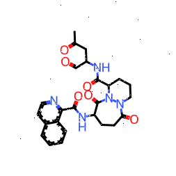 CC(=O)CC(C=O)NC(=O)C1CCCN2C(=O)CCC(NC(=O)c3nccc4ccccc34)C(=O)N12